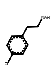 [CH]NCCc1ccc(Cl)cc1